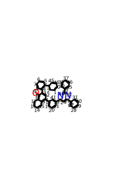 C1=CCC(c2cccc3oc4c5ccccc5c(-c5cccc(-c6cc(-c7ccccc7)nc(-c7ccccc7)n6)c5)cc4c23)C=C1